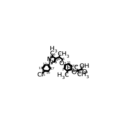 Cc1cc(OCC(C)c2cn(-c3ccc(Cl)cc3)nc2C)ccc1OC(C)(C)C(=O)O